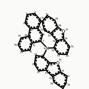 c1ccc2c(c1)cc(N(c1cccc3c1oc1ccccc13)c1cccc3oc4ccccc4c13)c1ccccc12